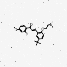 COc1ccc(C(=O)C=Cc2cc(C(C)(C)C)ccc2OCCN(C)C)c(F)c1